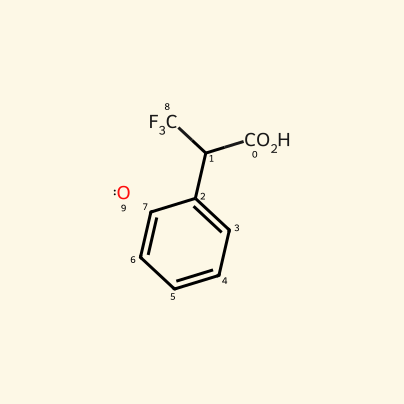 O=C(O)C(c1ccccc1)C(F)(F)F.[O]